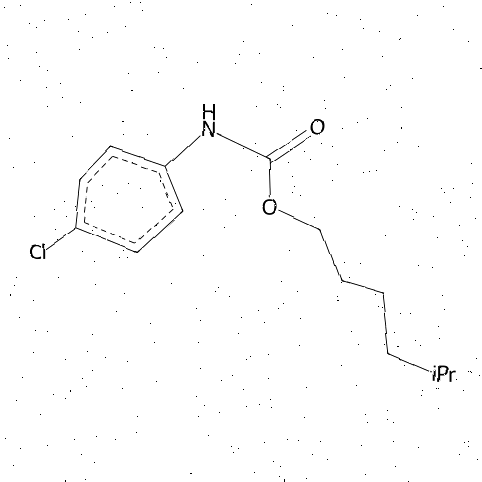 CC(C)CCCCOC(=O)Nc1ccc(Cl)cc1